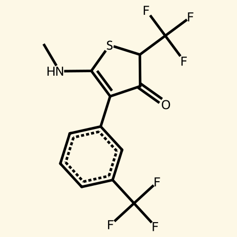 CNC1=C(c2cccc(C(F)(F)F)c2)C(=O)C(C(F)(F)F)S1